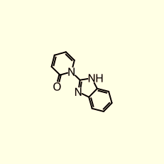 O=c1ccccn1-c1nc2ccccc2[nH]1